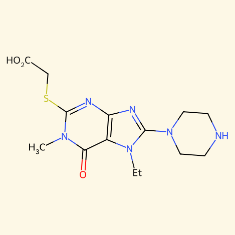 CCn1c(N2CCNCC2)nc2nc(SCC(=O)O)n(C)c(=O)c21